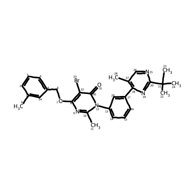 Cc1cccc(COc2nc(C)n(-c3cccc(-c4nc(C(C)(C)C)ncc4C)c3)c(=O)c2Br)c1